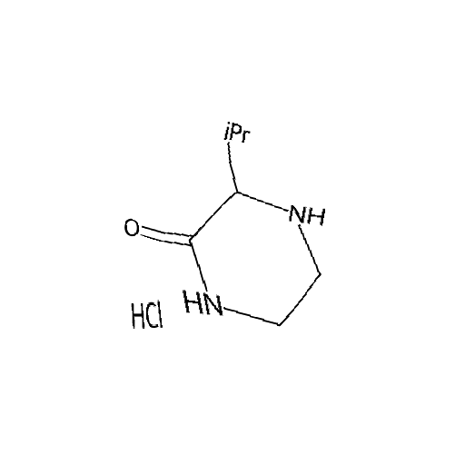 CC(C)C1NCCNC1=O.Cl